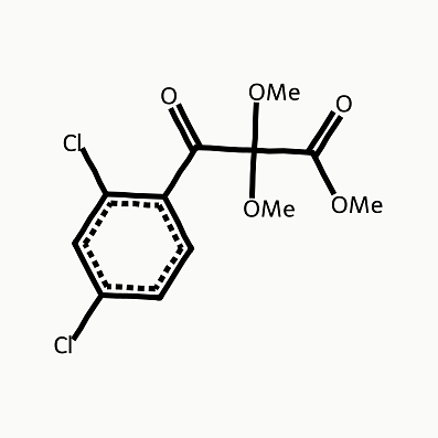 COC(=O)C(OC)(OC)C(=O)c1ccc(Cl)cc1Cl